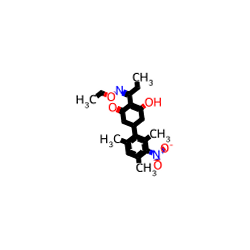 CCO/N=C(/CC)C1=C(O)CC(c2c(C)cc(C)c([N+](=O)[O-])c2C)CC1=O